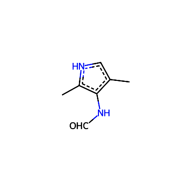 Cc1c[nH]c(C)c1NC=O